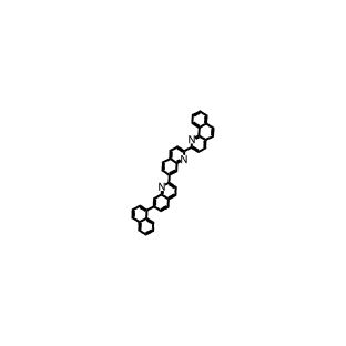 c1ccc2c(-c3ccc4ccc(-c5ccc6ccc(-c7ccc8ccc9ccccc9c8n7)nc6c5)nc4c3)cccc2c1